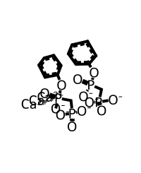 O=P([O-])([O-])CP(=O)([O-])Oc1ccccc1.O=P([O-])([O-])CP(=O)([O-])Oc1ccccc1.[Ca+2].[Ca+2].[Ca+2]